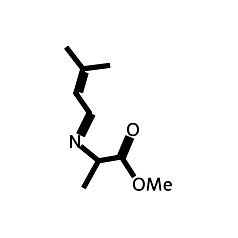 COC(=O)C(C)/N=C/C=C(C)C